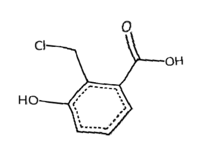 O=C(O)c1cccc(O)c1CCl